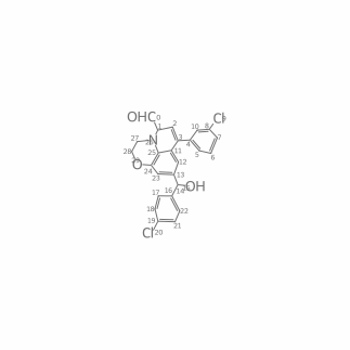 O=CC1C=C(c2cccc(Cl)c2)c2cc(C(O)c3ccc(Cl)cc3)cc3c2N1CCO3